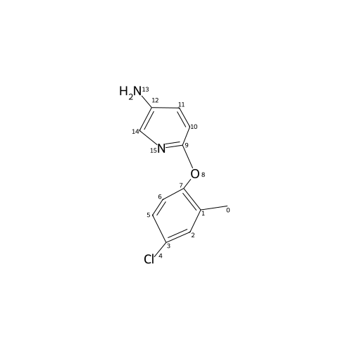 Cc1cc(Cl)ccc1Oc1ccc(N)cn1